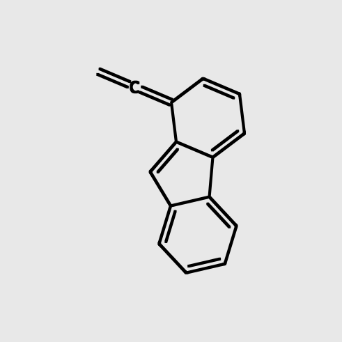 C=C=c1cccc2c1=Cc1ccccc1-2